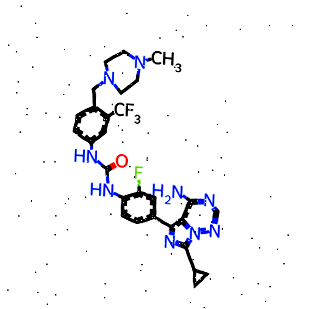 CN1CCN(Cc2ccc(NC(=O)Nc3ccc(-c4nc(C5CC5)n5ncnc(N)c45)cc3F)cc2C(F)(F)F)CC1